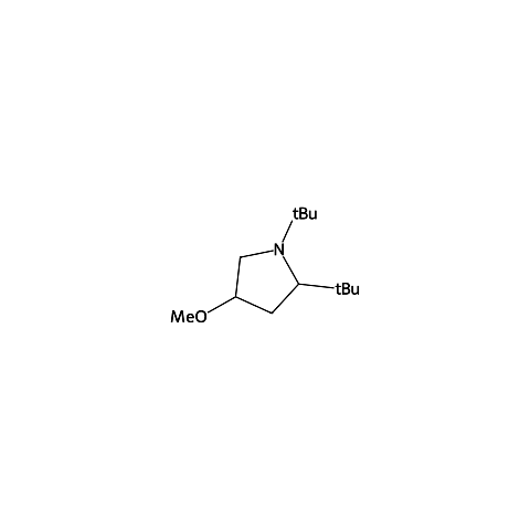 COC1CC(C(C)(C)C)N(C(C)(C)C)C1